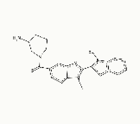 CCn1c(-c2nc3cc(C(=S)N4CCCC(N)C4)ccc3n2C)cc2ccccc21